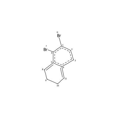 Brc1ccc2c(c1Br)=CCCC=2